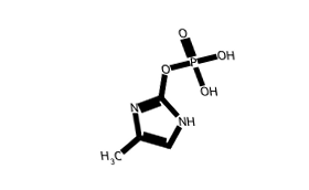 Cc1c[nH]c(OP(=O)(O)O)n1